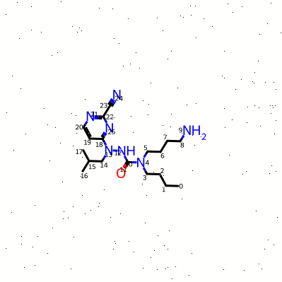 CCCCN(CCCCN)C(=O)NN(CC(C)C)c1ccnc(C#N)n1